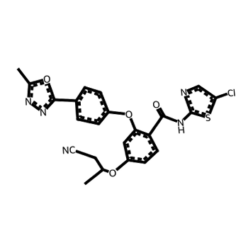 Cc1nnc(-c2ccc(Oc3cc(OC(C)CC#N)ccc3C(=O)Nc3ncc(Cl)s3)cc2)o1